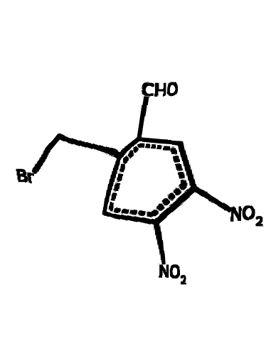 O=Cc1cc([N+](=O)[O-])c([N+](=O)[O-])cc1CBr